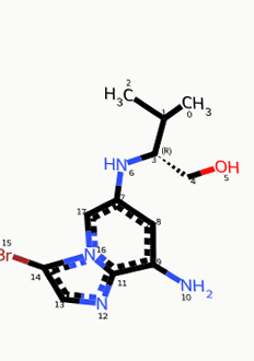 CC(C)[C@H](CO)Nc1cc(N)c2ncc(Br)n2c1